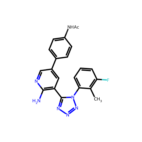 CC(=O)Nc1ccc(-c2cnc(N)c(-c3nnnn3-c3cccc(F)c3C)c2)cc1